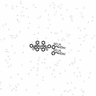 CCCCCCCCCCCCc1ccccc1S(=O)(=O)O.CCCCCCCCCCCCc1ccccc1S(=O)(=O)O.O=S(=O)(c1ccccc1)c1cccc(Sc2cccc(S(=O)(=O)c3ccccc3)c2S(=O)(=O)c2ccccc2)c1S(=O)(=O)c1ccccc1